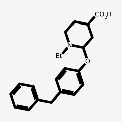 CCN1CCC(C(=O)O)CC1Oc1ccc(Cc2ccccc2)cc1